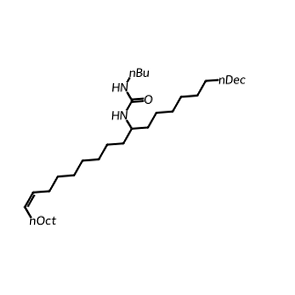 CCCCCCCC/C=C\CCCCCCCC(CCCCCCCCCCCCCCCC)NC(=O)NCCCC